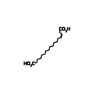 O=C(O)C/C=C\CCCCCCCCCCCCC(=O)O